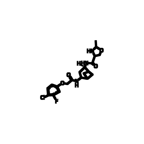 CC1NC(C(=O)N[C@@H]2CC(NC(=O)COc3ccc(Cl)c(F)c3)C3CC2C3)CO1